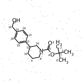 CC(C)(C)OC(=O)N1CCCC(c2ccc(CO)cc2)C1